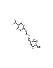 CC(C)c1ccc(OCCSc2ccc(O)cc2)cc1